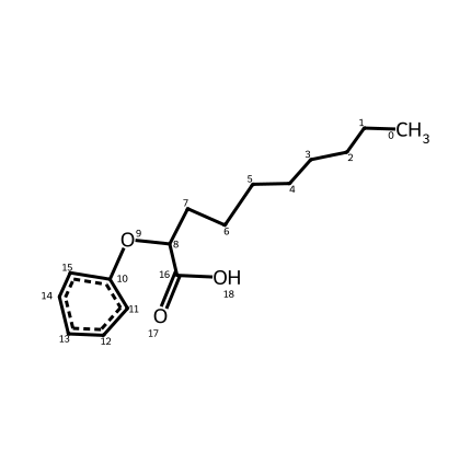 CCCCCCCCC(Oc1ccccc1)C(=O)O